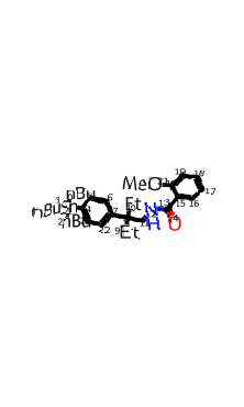 CCC[CH2][Sn]([CH2]CCC)([CH2]CCC)[c]1ccc(C(CC)(CC)CNC(=O)c2ccccc2OC)cc1